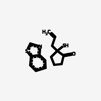 C=CCC1(S)CCCC1=O.c1ccc2scnc2c1